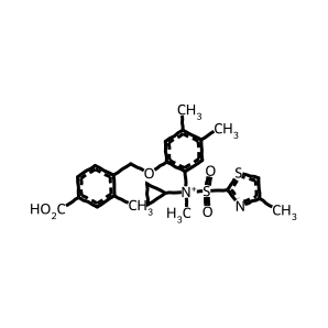 Cc1csc(S(=O)(=O)[N+](C)(c2cc(C)c(C)cc2OCc2ccc(C(=O)O)cc2C)C2CC2)n1